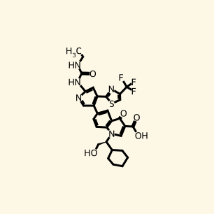 CCNC(=O)Nc1cc(-c2nc(C(F)(F)F)cs2)c(-c2ccc3c(c2)c(=O)c(C(=O)O)cn3[C@H](CO)C2CCCCC2)cn1